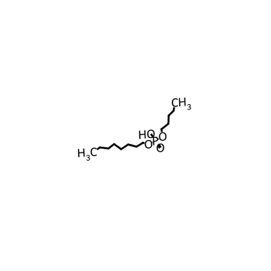 CCCCCCCCOP(=O)(O)OCCCCC